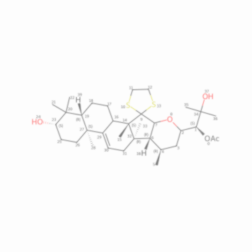 CC(=O)O[C@@H](C1C[C@@H](C)[C@H]2C(O1)C1(SCCS1)[C@@]1(C)C3CC[C@H]4C(C)(C)[C@@H](O)CC[C@]4(C)C3=CC[C@]21C)C(C)(C)O